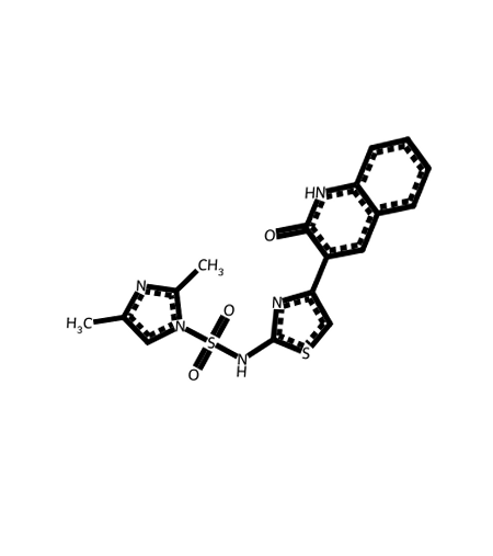 Cc1cn(S(=O)(=O)Nc2nc(-c3cc4ccccc4[nH]c3=O)cs2)c(C)n1